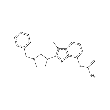 Cn1c(C2CCN(Cc3ccccc3)C2)nc2c(OC(N)=O)cccc21